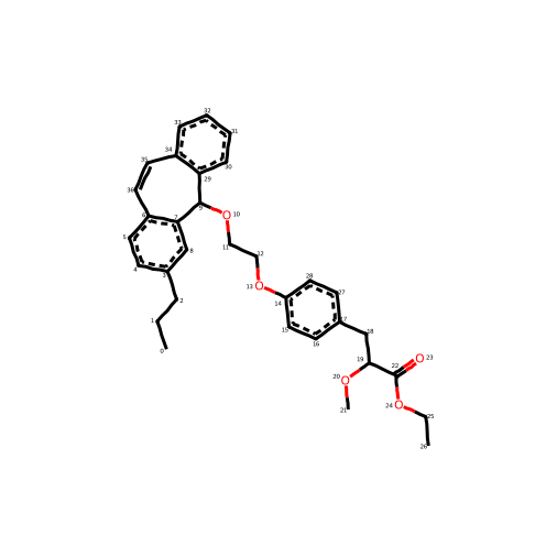 CCCc1ccc2c(c1)C(OCCOc1ccc(CC(OC)C(=O)OCC)cc1)c1ccccc1C=C2